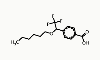 CCCCCCOC(c1ccc(C(=O)O)cc1)C(F)(F)F